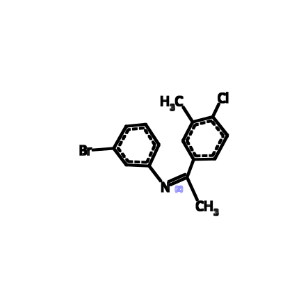 C/C(=N/c1cccc(Br)c1)c1ccc(Cl)c(C)c1